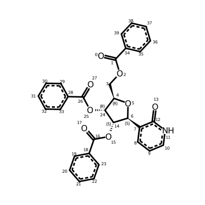 O=C(OC[C@H]1O[C@@H](c2ccc[nH]c2=O)[C@H](OC(=O)c2ccccc2)[C@@H]1OC(=O)c1ccccc1)c1ccccc1